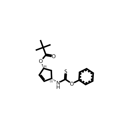 CC(C)(C)C(=O)O[C@H]1C=C[C@@H](NC(=S)Oc2ccccc2)C1